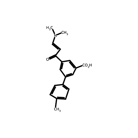 Cc1ccc(-c2cc(C(=O)O)cc(C(=O)C=CN(C)C)c2)cc1